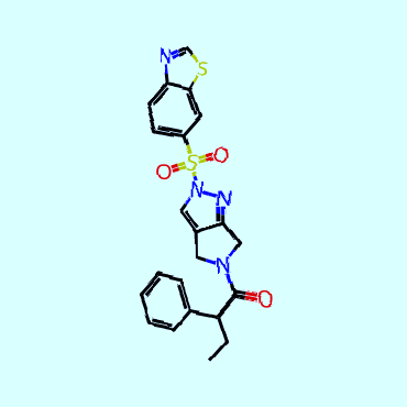 CCC(C(=O)N1Cc2cn(S(=O)(=O)c3ccc4ncsc4c3)nc2C1)c1ccccc1